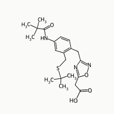 CC(C)(C)SCc1cc(NC(=O)C(C)(C)C)ccc1Cc1noc(CC(=O)O)n1